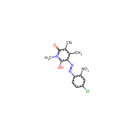 Cc1c(N=Nc2ccc(Cl)cc2[N+](=O)[O-])c(O)n(C)c(=O)c1C#N